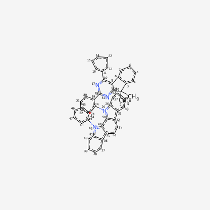 CC1(C)c2ccccc2-c2c(-c3ccccc3)nc(-c3ccccc3-n3c4ccccc4c4ccc5c6ccccc6n(-c6ccccc6)c5c43)nc21